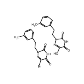 Cc1cccc(CCn2nc(Br)c(=O)[nH]c2=O)c1.Cc1cccc(CCn2nc(O)c(=O)[nH]c2=O)c1